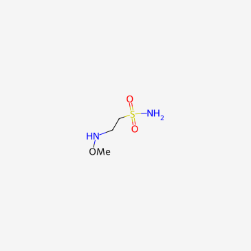 CONCCS(N)(=O)=O